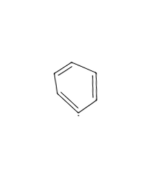 [c]1ccccc1